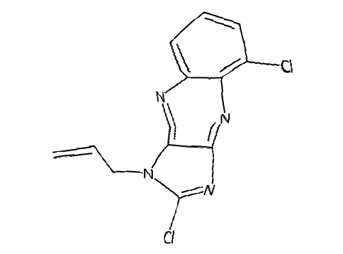 C=CCn1c(Cl)nc2nc3c(Cl)cccc3nc21